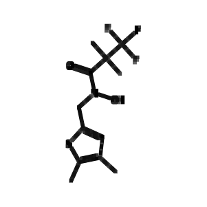 Cc1cc(CN(O)C(=O)C(C)(C)C(F)(F)F)sc1C